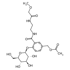 COCC(=O)NCCNC(=O)c1cc(COC(C)=O)ccc1O[C@@H]1O[C@H](CO)[C@@H](O)[C@H](O)[C@H]1O